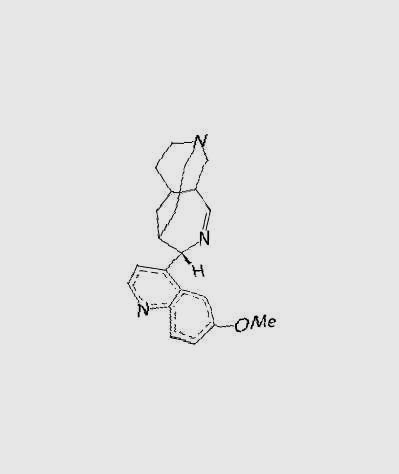 COc1ccc2nccc([C@H]3N=CC4CN5CCC4CC35)c2c1